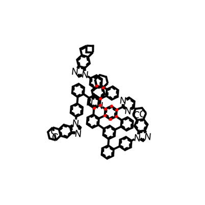 C1=C2CC(C2)c2cc3c(cc21)ncn3-c1ccc(-c2ccccc2-c2cc(-c3ccccc3-c3ccc(-n4cnc5cc6c(cc54)C4CCC6CC4)cc3)cc(-c3cccc(-c4cc(-c5ccccc5-c5ccc(-n6cnc7cc8c(cc76)C6CCC8CC6)cc5)cc(-c5ccccc5-c5ccc(-n6cnc7cc8c(cc76)C6CCC8CC6)cc5)c4)c3-c3ccc(-c4ncccn4)cc3)c2)cc1